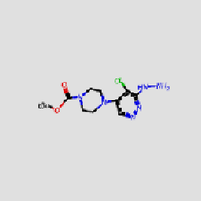 CC(C)(C)OC(=O)N1CCN(c2cnnc(NN)c2Cl)CC1